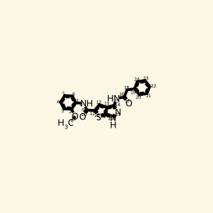 COc1ccccc1NC(=O)c1cc2c(NC(=O)Cc3ccccc3)n[nH]c2s1